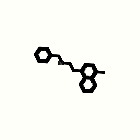 Cc1ccc(CCNCc2ccccc2)c2ccccc12